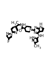 Cc1cc(Nc2nc(N3CCC(C(=O)NC(C)c4ccc(-n5cc(F)cn5)nc4)CC3)nc3[nH]ccc23)[nH]n1